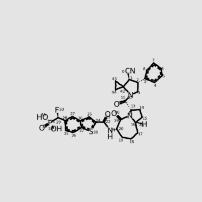 N#C[C@H]1[C@H](c2ccccc2)CN(C(=O)[C@@H]2CC[C@@H]3CCC[C@H](NC(=O)c4cc5cc([C@H](F)P(=O)(O)O)ccc5s4)C(=O)N32)C12CC2